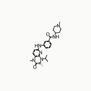 CC(C)N1c2nc(Nc3cccc(C(=O)NC4CCN(C)CC4)c3)ccc2N(C)C(=O)[C@H]1C